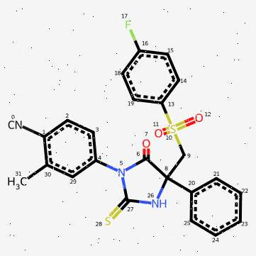 [C-]#[N+]c1ccc(N2C(=O)C(CS(=O)(=O)c3ccc(F)cc3)(c3ccccc3)NC2=S)cc1C